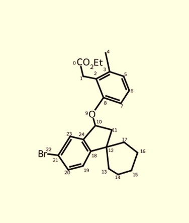 CCOC(=O)Cc1c(C)cccc1OC1CC2(CCCCC2)c2ccc(Br)cc21